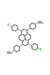 CC(C)(C)c1ccc(-c2cc(-c3ccc(F)cc3)c3ccc4c(-c5ccc(C(C)(C)C)cc5)cc(-c5ccc(F)cc5)c5ccc2c3c54)cc1